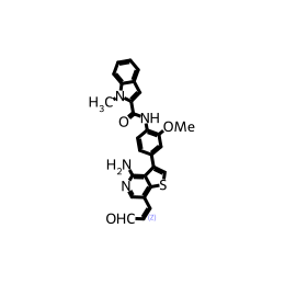 COc1cc(-c2csc3c(/C=C\C=O)cnc(N)c23)ccc1NC(=O)c1cc2ccccc2n1C